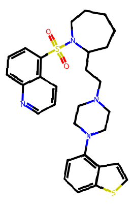 O=S(=O)(c1cccc2ncccc12)N1CCCCCC1CCN1CCN(c2cccc3sccc23)CC1